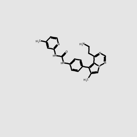 Cc1ccnc(NC(=O)Nc2ccc(-c3c(C)cn4ncnc(CCN)c34)cc2)c1